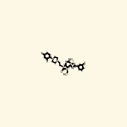 N#CCn1c(=O)n(CCN2CCN(c3ccc(F)cc3F)CC2)c2nc(N)n3nc(-c4cccc(F)c4)nc3c21